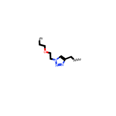 CNCc1cn(CCOCCC(C)C)nn1